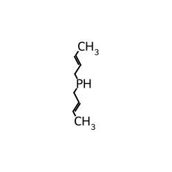 CC=CCPCC=CC